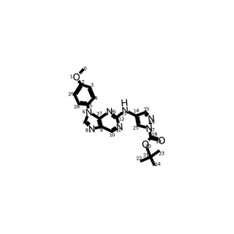 COc1ccc(-n2cnc3cnc(Nc4cnn(C(=O)OC(C)(C)C)c4)nc32)cc1